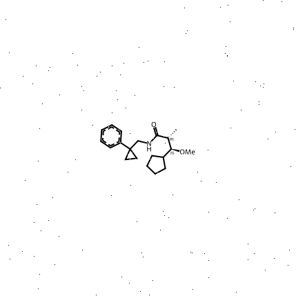 CO[C@@H](C1CCCC1)[C@@H](C)C(=O)NCC1(c2ccccc2)CC1